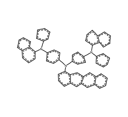 c1ccc(N(c2ccc(N(c3ccc(N(c4ccccc4)c4cccc5ccccc45)cc3)c3cccc4cc5cc6ccccc6cc5cc34)cc2)c2cccc3ccccc23)cc1